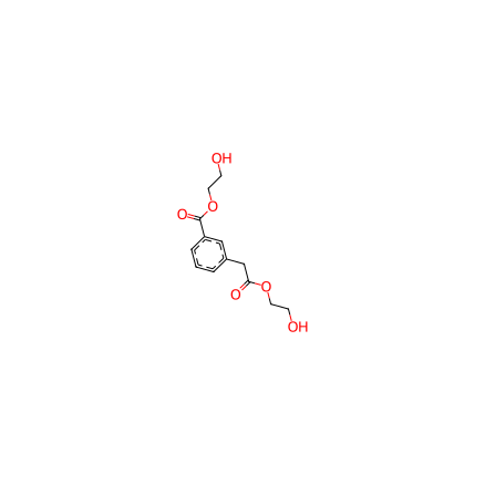 O=C(Cc1cccc(C(=O)OCCO)c1)OCCO